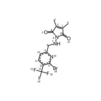 CC1=C(C)C(=O)N(NCc2ccc(C(F)(F)F)c(Br)n2)C1=O